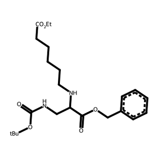 CCOC(=O)CCCCCNC(CNC(=O)OC(C)(C)C)C(=O)OCc1ccccc1